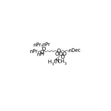 CCCCCCCCCCCCC(CCOC(=O)CCCCCCC(OCC(CCC)CCC)OCC(CCC)CCC)OC(=O)OCCCN(C)C